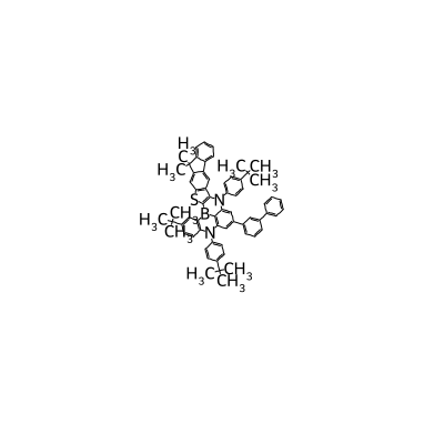 CC(C)(C)c1ccc(N2c3ccc(C(C)(C)C)cc3B3c4sc5cc6c(cc5c4N(c4ccc(C(C)(C)C)cc4)c4cc(-c5cccc(-c7ccccc7)c5)cc2c43)-c2ccccc2C6(C)C)cc1